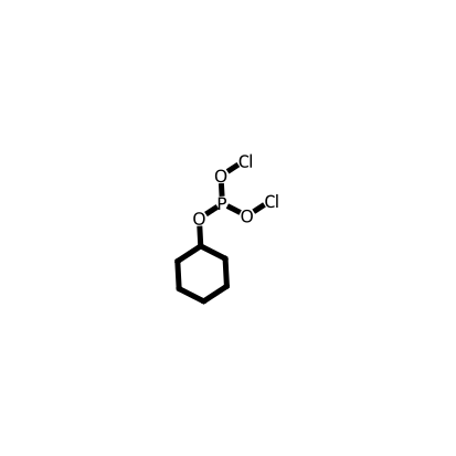 ClOP(OCl)OC1CCCCC1